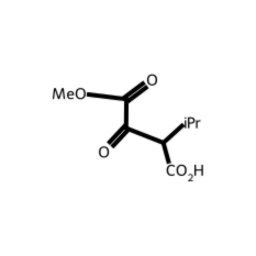 COC(=O)C(=O)C(C(=O)O)C(C)C